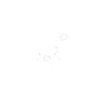 Cc1cc(C(N)=O)cc(C)c1CC(CNC(=O)CC(c1ccccc1)C1(C(F)(F)F)CC1)N(C)C